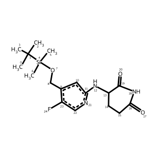 CC(C)(C)[Si](C)(C)OCc1cc(NC2CCC(=O)NC2=O)ncc1F